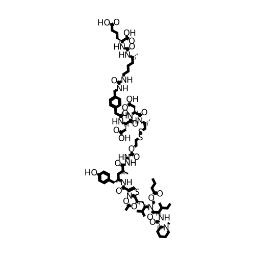 CCCC(=O)OCN(C(=O)[C@@H](NC(=O)[C@H]1CCCCN1C)C(C)CC)[C@H](C[C@@H](OC(C)=O)c1nc(C(=O)N[C@@H](Cc2ccc(O)cc2)C[C@H](C)C(=O)NNC(=O)OCCSSC[C@@H](C)NC(=O)[C@H](CC(=O)O)NC(=O)[C@H](CC(=O)O)NC(=O)Cc2ccc(CNC(=O)NCCCC[C@@H](C)NC(=O)N[C@@H](CCCC(=O)O)C(=O)O)cc2)cs1)C(C)C